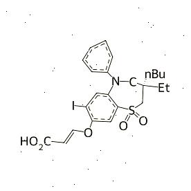 CCCC[C@@]1(CC)CN(c2ccccc2)c2cc(I)c(O/C=C/C(=O)O)cc2S(=O)(=O)C1